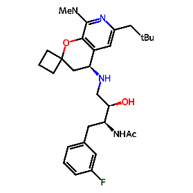 CNc1nc(CC(C)(C)C)cc2c1OC1(CCC1)C[C@@H]2NC[C@@H](O)[C@H](Cc1cccc(F)c1)NC(C)=O